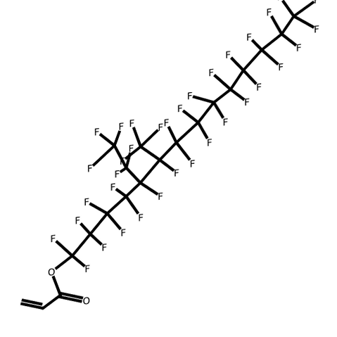 C=CC(=O)OC(F)(F)C(F)(F)C(F)(F)C(F)(F)C(F)(C(F)(F)C(F)(F)F)C(F)(C(F)(F)F)C(F)(F)C(F)(F)C(F)(F)C(F)(F)C(F)(F)C(F)(F)C(F)(F)C(F)(F)F